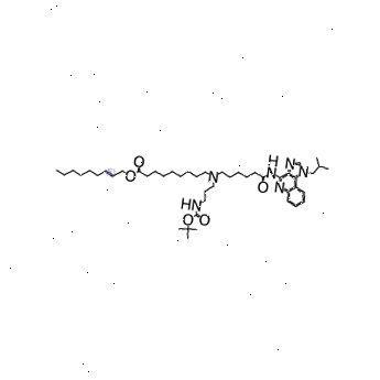 CCCCCC/C=C/COC(=O)CCCCCCCCN(CCCCCC(=O)Nc1nc2ccccc2c2c1ncn2CC(C)C)CCCNC(=O)OC(C)(C)C